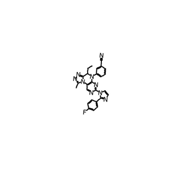 CCC1c2nnc(C)n2-c2cnc(-n3ccnc3-c3ccc(F)cc3)nc2N1c1cccc(C#N)c1